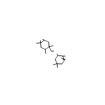 CC1CC2(C)OC2CC1(C)COC1CC(C)(C)CC2(C)OC12